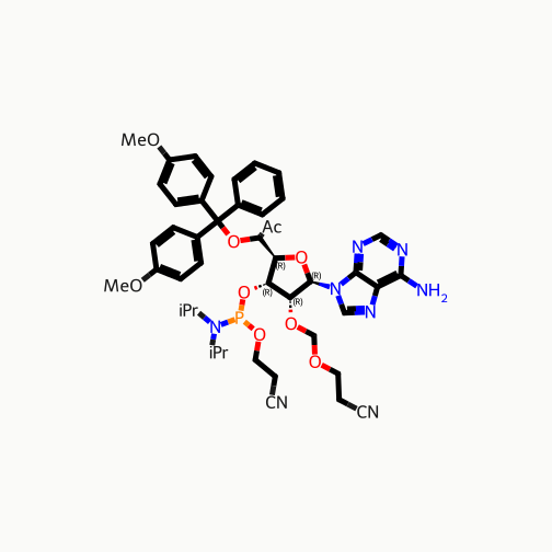 COc1ccc(C(OC(C(C)=O)[C@H]2O[C@@H](n3cnc4c(N)ncnc43)[C@H](OCOCCC#N)[C@@H]2OP(OCCC#N)N(C(C)C)C(C)C)(c2ccccc2)c2ccc(OC)cc2)cc1